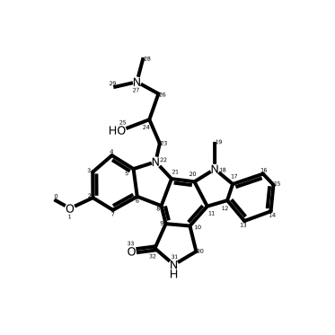 COc1ccc2c(c1)c1c3c(c4c5ccccc5n(C)c4c1n2CC(O)CN(C)C)CNC3=O